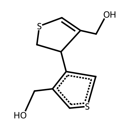 OCC1=CSCC1c1cscc1CO